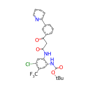 CC(C)(C)OC(=O)Nc1cc(C(F)(F)F)c(Cl)cc1NC(=O)CC(=O)c1cccc(-c2ccccn2)c1